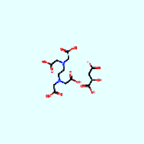 O=C(O)CC(O)C(=O)O.O=C(O)CN(CCN(CC(=O)O)CC(=O)O)CC(=O)O